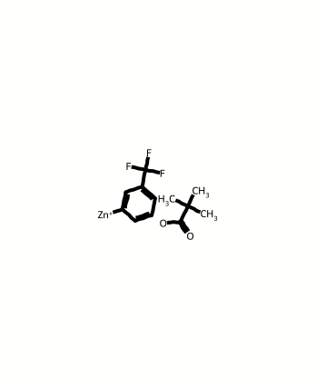 CC(C)(C)C(=O)[O-].FC(F)(F)c1ccc[c]([Zn+])c1